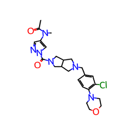 CC(=O)N(C)c1cnn(C(=O)N2CC3CN(Cc4ccc(N5CCOCC5)c(Cl)c4)CC3C2)c1